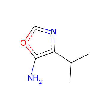 CC(C)c1ncoc1N